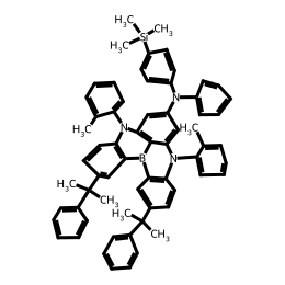 Cc1ccccc1N1c2ccc(C(C)(C)c3ccccc3)cc2B2c3cc(C(C)(C)c4ccccc4)ccc3N(c3ccccc3C)c3cc(N(c4ccccc4)c4ccc([Si](C)(C)C)cc4)cc1c32